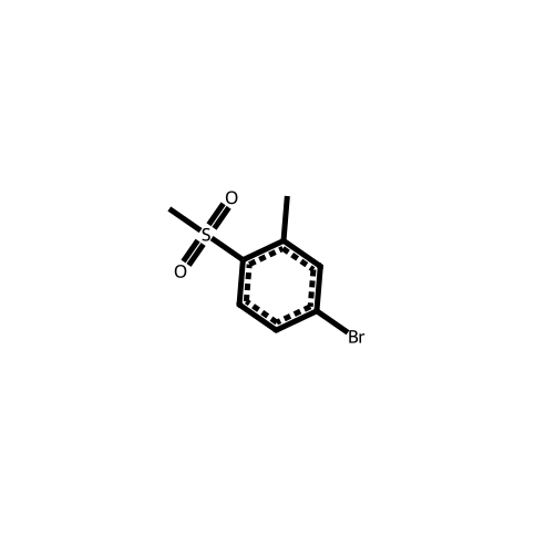 Cc1cc(Br)ccc1S(C)(=O)=O